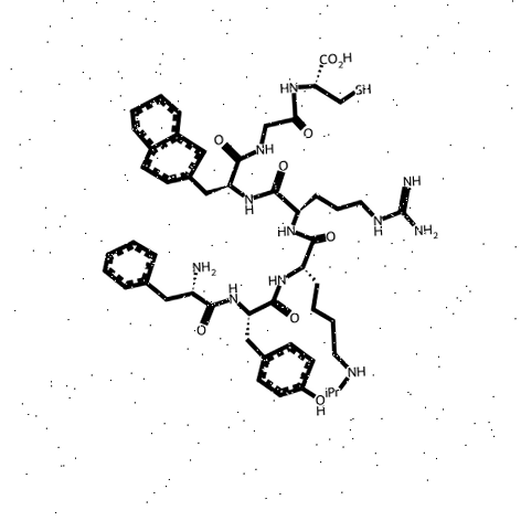 CC(C)NCCCC[C@H](NC(=O)[C@H](Cc1ccc(O)cc1)NC(=O)[C@@H](N)Cc1ccccc1)C(=O)N[C@H](CCCNC(=N)N)C(=O)N[C@@H](Cc1ccc2ccccc2c1)C(=O)NCC(=O)N[C@@H](CS)C(=O)O